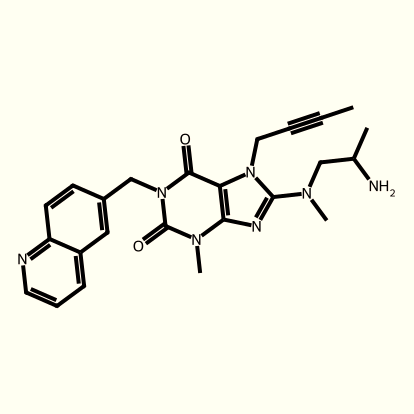 CC#CCn1c(N(C)CC(C)N)nc2c1c(=O)n(Cc1ccc3ncccc3c1)c(=O)n2C